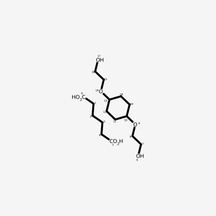 O=C(O)CCCCC(=O)O.OCCOC1CCC(OCCO)CC1